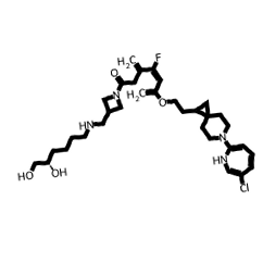 C=C(/C=C(/F)C(=C)CC(=O)N1CC(CNCCCC[C@H](O)CO)C1)OCCC1CC12CCN(C1=CC=CC(Cl)=CN1)CC2